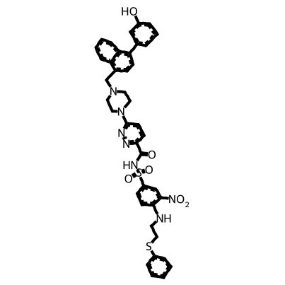 O=C(NS(=O)(=O)c1ccc(NCCSc2ccccc2)c([N+](=O)[O-])c1)c1ccc(N2CCN(Cc3ccc(-c4cccc(O)c4)c4ccccc34)CC2)nn1